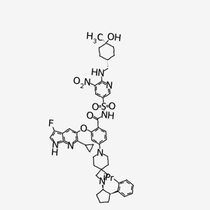 CC(C)c1ccccc1[C@H]1CCC[C@H]1N1CC2(CCN(c3ccc(C(=O)NS(=O)(=O)c4cnc(NC[C@H]5CC[C@](C)(O)CC5)c([N+](=O)[O-])c4)c(Oc4cc5c(F)c[nH]c5nc4C4CC4)c3)CC2)C1